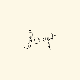 C=N/C=C(\C=C(/C)c1ccc2c(c1)c(C=O)nn2C1CCCCO1)NC(=O)N(C)C